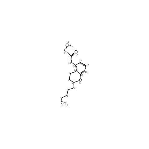 CCCCCC1CCc2c(CC(=O)OC)cccc2O1